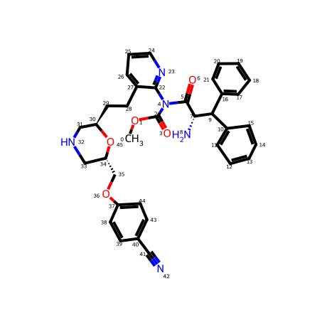 COC(=O)N(C(=O)[C@@H](N)C(c1ccccc1)c1ccccc1)c1ncccc1CC[C@@H]1CNC[C@@H](COc2ccc(C#N)cc2)O1